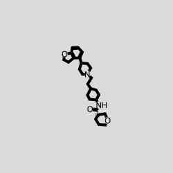 O=C(NC1CCC(CCN2CCC(c3cccc4c3CCO4)CC2)CC1)[C@H]1CCCOC1